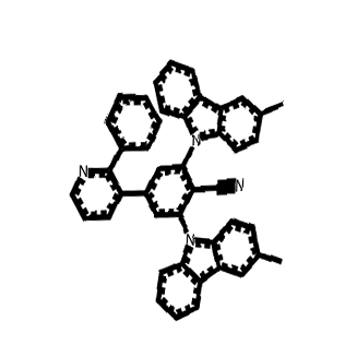 Cc1ccc2c(c1)c1ccccc1n2-c1cc(-c2cccnc2-c2ccccc2)cc(-n2c3ccccc3c3cc(C)ccc32)c1C#N